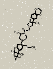 CCCc1cc(C(O)(C(F)(F)F)C(F)(F)F)ccc1N1CCN(C(=O)CN2CNC(C)(c3ccc4c(c3)OCCO4)C2)C(C)C1